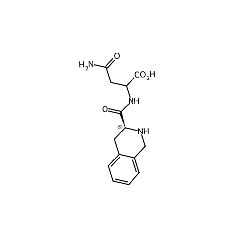 NC(=O)CC(NC(=O)[C@@H]1Cc2ccccc2CN1)C(=O)O